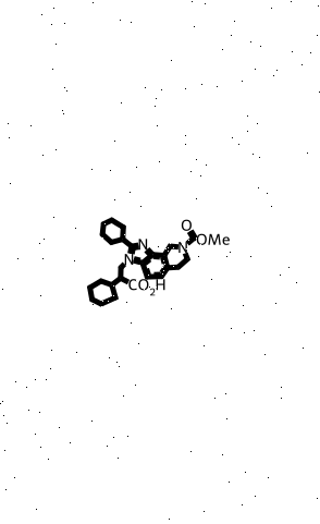 COC(=O)N1CCc2ccc3c(nc(C4CCCCC4)n3CC(C(=O)O)C3CCCCC3)c2C1